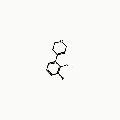 Nc1c(F)cccc1C1=CCOCC1